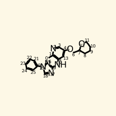 Cc1ncc(OCC2CCCCO2)cc1Nc1ncn(-c2ccccc2)n1